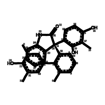 Cc1cc(-c2c(C)cccc2[C@]2(c3ccc(O)c(C)c3O)C(=O)Nc3ccccc32)cc(C)c1O